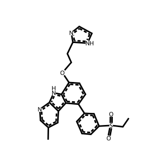 CCS(=O)(=O)c1cccc(-c2ccc(OCCc3ncc[nH]3)c3[nH]c4ncc(C)cc4c23)c1